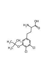 CC(C)(C)Oc1cc(CCC(N)C(=O)O)cc(Cl)c1Cl